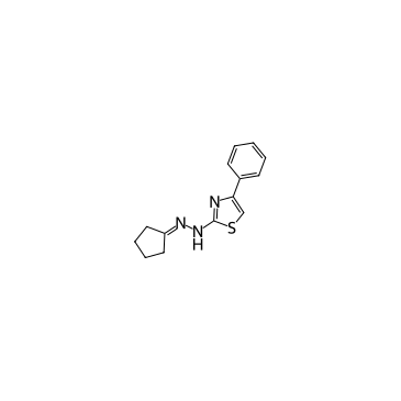 c1ccc(-c2csc(NN=C3CCCC3)n2)cc1